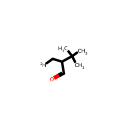 [2H]CC(C=O)C(C)(C)C